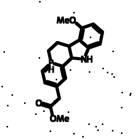 COC(=O)CC1=CC=[PH]2CCC3c4c(cccc4OC)NC3C2=C1